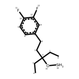 CCC(CC)(CCc1ccc(F)c(F)c1)O[SiH3]